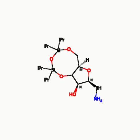 CC(C)[Si]1(C(C)C)OC[C@H]2O[C@@H](BN)[C@@H](O)C2O[Si](C(C)C)(C(C)C)O1